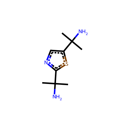 CC(C)(N)c1cnc(C(C)(C)N)s1